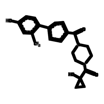 O=C(c1ccc(-c2ccc(O)cc2C(F)(F)F)cc1)N1CCN(C(=O)C2(O)CC2)CC1